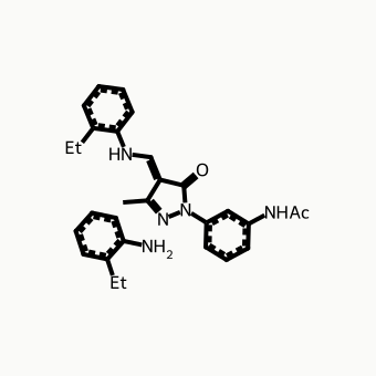 CCc1ccccc1N.CCc1ccccc1NC=C1C(=O)N(c2cccc(NC(C)=O)c2)N=C1C